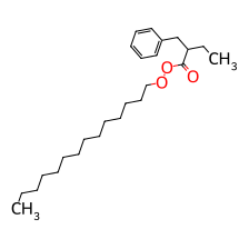 CCCCCCCCCCCCCCOOC(=O)C(CC)Cc1ccccc1